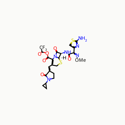 CO/N=C(\C(=O)N[C@@H]1C(=O)N2C(C(=O)OC(=O)C(F)(F)F)=C(C=C3CCN(C4CC4)C3=O)CS[C@H]12)c1csc(N)n1